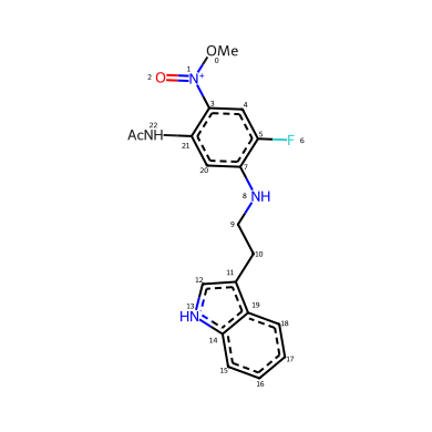 CO[N+](=O)c1cc(F)c(NCCc2c[nH]c3ccccc23)cc1NC(C)=O